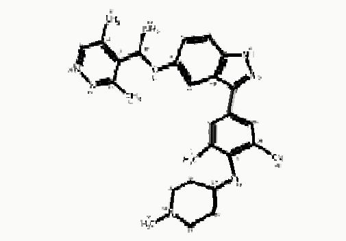 Cc1cc(-c2n[nH]c3ccc(O[C@H](N)c4c(C)cnnc4C)cc23)cc(C#N)c1OC1CCN(C)CC1